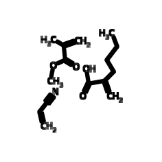 C=C(C)C(=O)OC.C=C(CCCC)C(=O)O.C=CC#N